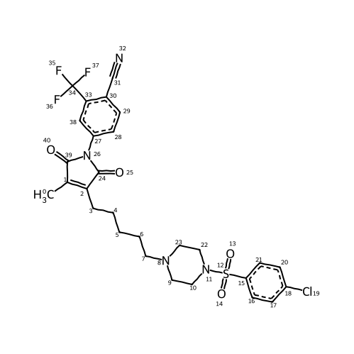 CC1=C(CCCCCN2CCN(S(=O)(=O)c3ccc(Cl)cc3)CC2)C(=O)N(c2ccc(C#N)c(C(F)(F)F)c2)C1=O